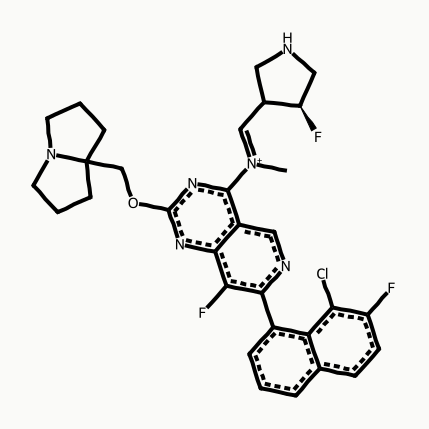 C/[N+](=C\C1CNC[C@H]1F)c1nc(OCC23CCCN2CCC3)nc2c(F)c(-c3cccc4ccc(F)c(Cl)c34)ncc12